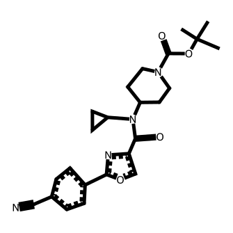 CC(C)(C)OC(=O)N1CCC(N(C(=O)c2coc(-c3ccc(C#N)cc3)n2)C2CC2)CC1